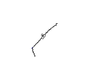 CCCCCCCC/C=C\CCCCCCCCCCCCOC(=O)OCCCCCCCCCCCCCCCC